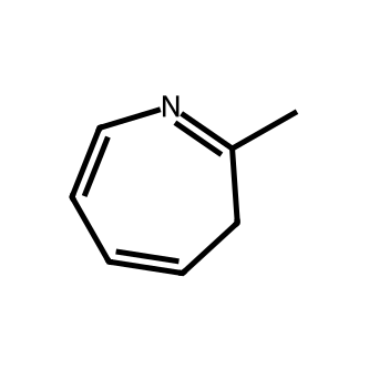 CC1=NC=CC=CC1